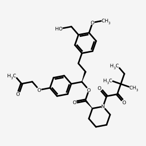 CCC(C)(C)C(=O)C(=O)N1CCCC[C@H]1C(=O)O[C@H](CCc1ccc(OC)c(CO)c1)c1ccc(OCC(C)=O)cc1